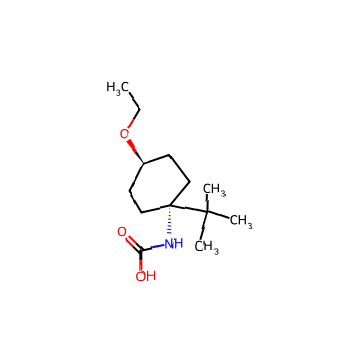 CCO[C@H]1CC[C@@](NC(=O)O)(C(C)(C)C)CC1